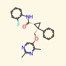 Cc1ncc(OC[C@@]2(c3ccccc3)C[C@H]2C(=O)Nc2ccccc2F)c(C)n1